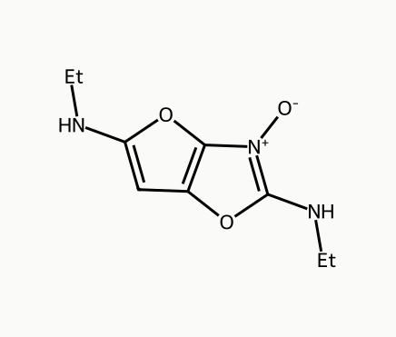 CCNc1cc2oc(NCC)[n+]([O-])c2o1